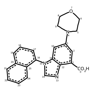 O=C(O)c1cc(N2CCOCC2)cc2c1ncn2-c1cccc2ccccc12